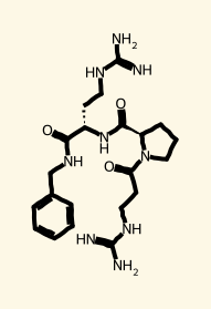 N=C(N)NCCC(=O)N1CCC[C@@H]1C(=O)N[C@@H](CCNC(=N)N)C(=O)NCc1ccccc1